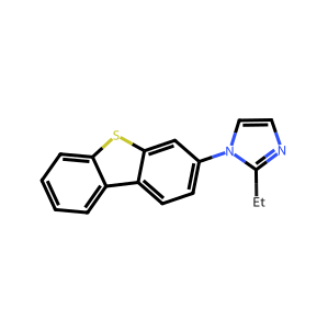 CCc1nccn1-c1ccc2c(c1)sc1ccccc12